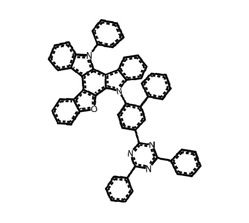 c1ccc(-c2nc(-c3ccccc3)nc(-c3ccc(-n4c5ccccc5c5c4c4oc6ccccc6c4c4c6ccccc6n(-c6ccccc6)c45)c(-c4ccccc4)c3)n2)cc1